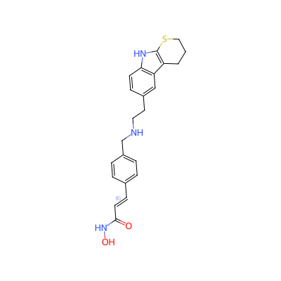 O=C(/C=C/c1ccc(CNCCc2ccc3[nH]c4c(c3c2)CCCS4)cc1)NO